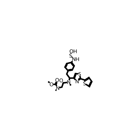 COC(=O)N(C)CC(=O)N(C)C(Cc1ccc(NSO)cc1)c1csc(-c2cccs2)n1